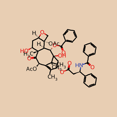 CC(=O)O[C@H]1C(=O)[C@@]2(C)[C@H]([C@H](OC(=O)c3ccccc3)[C@]3(O)C[C@H](OC(=O)C[C@@H](NC(=O)c4ccccc4)c4ccccc4)C(C)=C1C3(C)C)[C@]1(OC(C)=O)CO[C@@H]1C[C@@H]2O